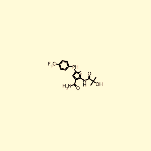 CC(C)(O)C(=O)Nc1sc(Pc2ccc(C(F)(F)F)cc2)cc1C(N)=O